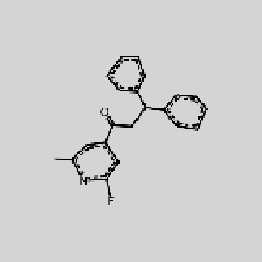 Cc1cc(C(=O)CC(c2ccccc2)c2ccccc2)cc(F)n1